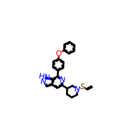 C=CSN1CCCC(c2cc3cn[nH]c3c(-c3ccc(Oc4ccccc4)cc3)n2)C1